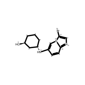 O[C@H]1CCC[C@H](Nc2ccc3ncc(Br)n3c2)C1